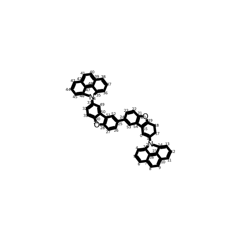 C1=C(n2c3cccc4ccc5cccc2c5c43)CCc2oc3ccc(-c4ccc5oc6ccc(-n7c8cccc9ccc%10cccc7c%10c98)cc6c5c4)cc3c21